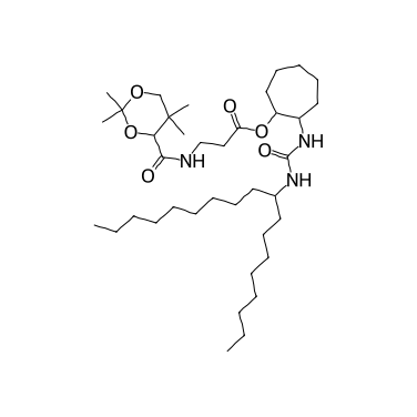 CCCCCCCCCC(CCCCCCCC)NC(=O)NC1CCCCCC1OC(=O)CCNC(=O)C1OC(C)(C)OCC1(C)C